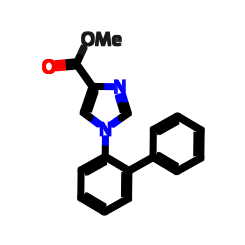 COC(=O)c1cn(-c2ccccc2-c2ccccc2)cn1